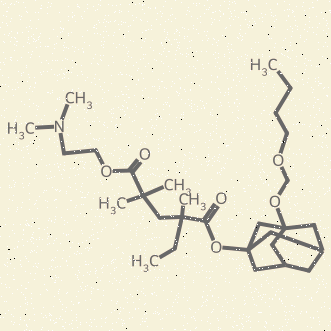 CCCCOCOC12CC3CC(C1)CC(OC(=O)C(C)(CC)CC(C)(C)C(=O)OCCN(C)C)(C3)C2